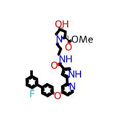 COC(=O)[C@@H]1C[C@@H](O)CN1CCCNC(=O)c1c[nH]c(-c2cc(Oc3ccc(-c4cc(C)ccc4F)cc3)ccn2)c1